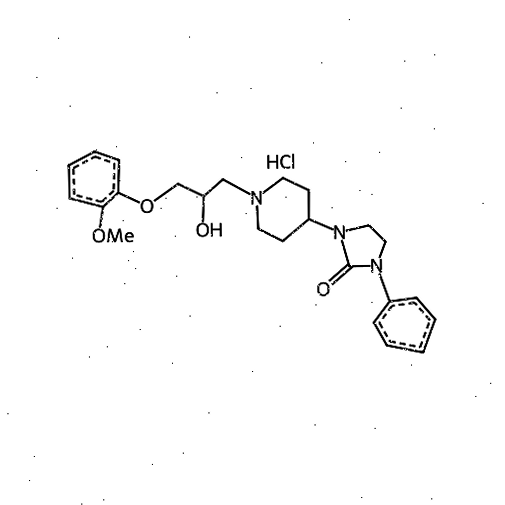 COc1ccccc1OCC(O)CN1CCC(N2CCN(c3ccccc3)C2=O)CC1.Cl